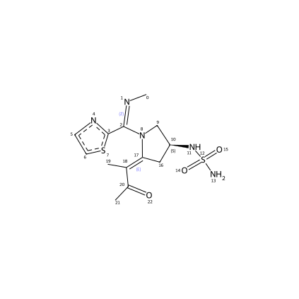 C/N=C(/c1nccs1)N1C[C@@H](NS(N)(=O)=O)C/C1=C(/C)C(C)=O